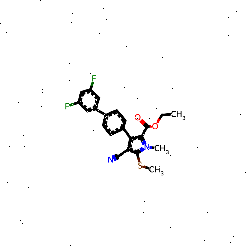 CCOC(=O)c1c(-c2ccc(-c3cc(F)cc(F)c3)cc2)c(C#N)c(SC)n1C